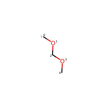 [CH]OCOC